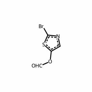 O=COc1cnc(Br)s1